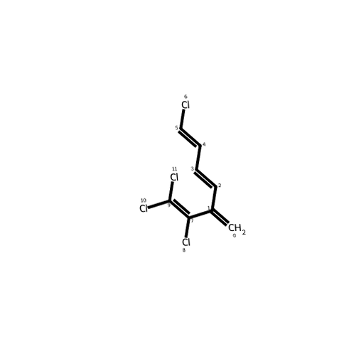 C=C(C=CC=CCl)C(Cl)=C(Cl)Cl